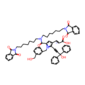 O=C(O)/C=C/c1cc(C(=O)N(CCCCCCCN2C(=O)c3ccccc3C2=O)CCCCCCCN2C(=O)c3ccccc3C2=O)n(Cc2cccc(CO)c2)c1C#CC(O)(c1ccccc1)c1ccccc1